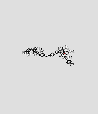 CC(C)C(C(=O)N1C[C@H](O)C[C@H]1C(=O)NCc1ccc(Cl)cc1)N1Cc2ccc(N3CCN(CCCc4ccc(C(=O)NC5C(C)(C)C(Oc6ccc(C#N)c(C(F)(F)F)c6)C5(C)C)cc4)CC3)cc2C1=O